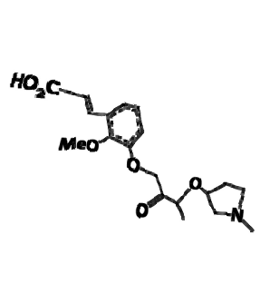 COc1c(/C=C/C(=O)O)cccc1OCC(=O)C(C)OC1CCN(C)C1